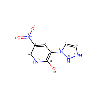 O=[N+]([O-])C1=CC(N2C=CNN2)=C(O)NC1